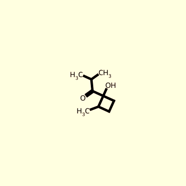 CC(C)C(=O)C1(O)CCC1C